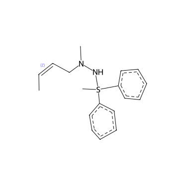 C/C=C\CN(C)NS(C)(c1ccccc1)c1ccccc1